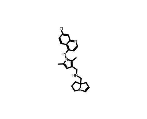 Cc1cc(CNCC23CC=CN2CCC3)c(C)n1Nc1ccnc2cc(Cl)ccc12